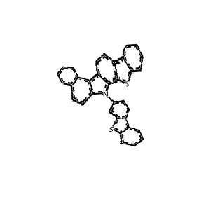 c1ccc2c(c1)ccc1c2c2ccc3c4ccccc4sc3c2n1-c1ccc2c(c1)sc1ccccc12